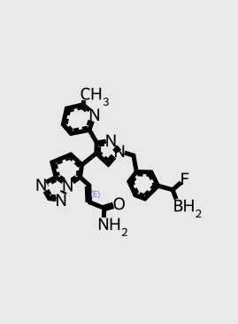 BC(F)c1cccc(Cn2cc(-c3ccc4ncnn4c3/C=C/C(N)=O)c(-c3cccc(C)n3)n2)c1